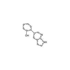 Oc1ccc[c]c1-c1cnc2[nH]ccc2c1